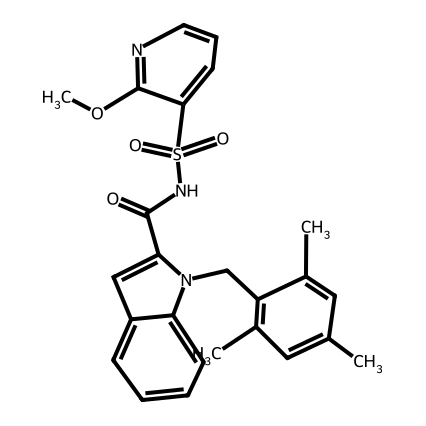 COc1ncccc1S(=O)(=O)NC(=O)c1cc2ccccc2n1Cc1c(C)cc(C)cc1C